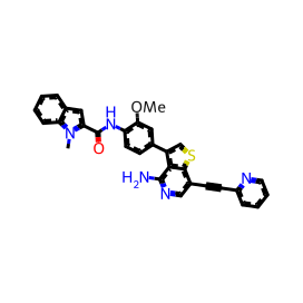 COc1cc(-c2csc3c(C#Cc4ccccn4)cnc(N)c23)ccc1NC(=O)c1cc2ccccc2n1C